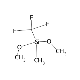 CO[Si](C)(OC)C(F)(F)F